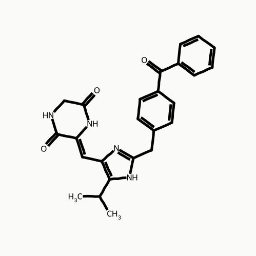 CC(C)c1[nH]c(Cc2ccc(C(=O)c3ccccc3)cc2)nc1C=C1NC(=O)CNC1=O